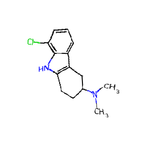 CN(C)C1CCc2[nH]c3c(Cl)cccc3c2C1